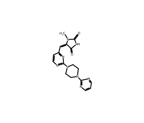 CN1C(=O)NC(=O)/C1=C\c1ccnc(N2CCN(c3ncccn3)CC2)n1